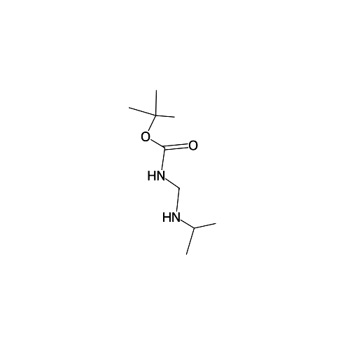 CC(C)NCNC(=O)OC(C)(C)C